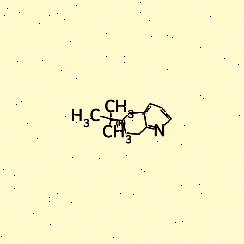 CC(C)(C)[C@@H]1CCc2ncccc2C1